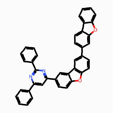 c1ccc(-c2cc(-c3ccc4oc5ccc(-c6ccc7c(c6)oc6ccccc67)cc5c4c3)nc(-c3ccccc3)n2)cc1